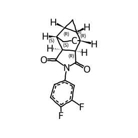 O=C1[C@@H]2[C@@H]3CC[C@@H]([C@@H]4C[C@@H]43)[C@@H]2C(=O)N1c1ccc(F)c(F)c1